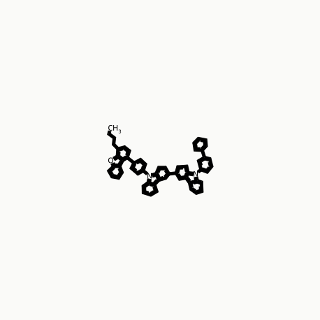 CCCCc1ccc(-c2ccc(-n3c4ccccc4c4cc(-c5ccc6c(c5)c5ccccc5n6-c5cccc(-c6ccccc6)c5)ccc43)cc2)c2c1oc1ccccc12